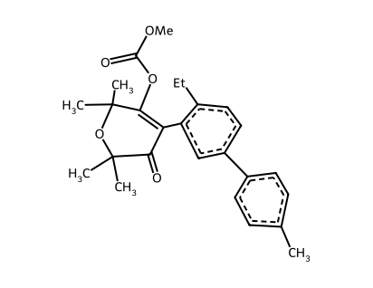 CCc1ccc(-c2ccc(C)cc2)cc1C1=C(OC(=O)OC)C(C)(C)OC(C)(C)C1=O